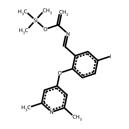 C=C(/N=C/c1cc(I)ccc1Oc1cc(C)nc(C)c1)O[Si](C)(C)C